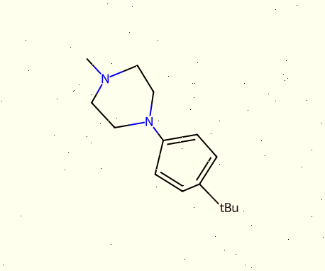 [CH2]C(C)(C)c1ccc(N2CCN(C)CC2)cc1